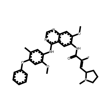 COc1cc2ncnc(Nc3cc(C)c(Oc4ccccc4)cc3OC)c2cc1NC(=O)C(F)=CC1CCCN1C